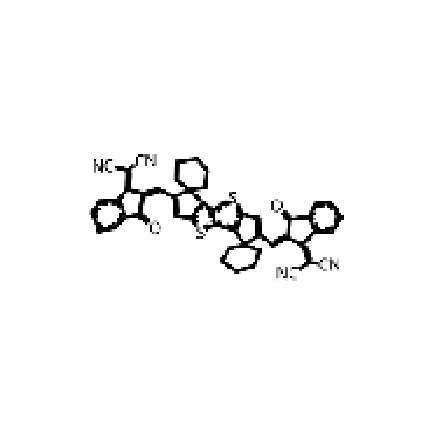 N#CC(C#N)=C1/C(=C/C2=Cc3sc4c5c(sc4c3C23CCCCC3)C=C(/C=C2\C(=O)c3ccccc3C2=C(C#N)C#N)C52CCCCC2)C(=O)c2ccccc21